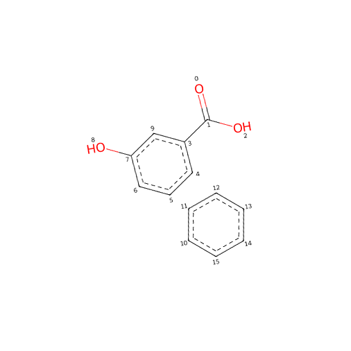 O=C(O)c1cccc(O)c1.c1ccccc1